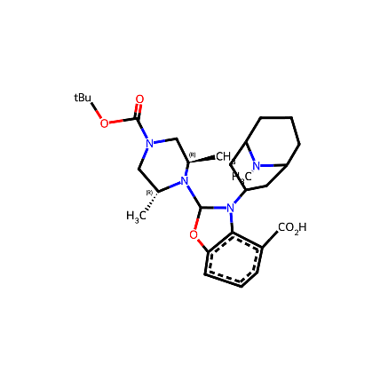 C[C@@H]1CN(C(=O)OC(C)(C)C)C[C@@H](C)N1C1Oc2cccc(C(=O)O)c2N1C1CC2CCCC(C1)N2C